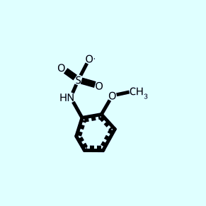 COc1ccccc1NS([O])(=O)=O